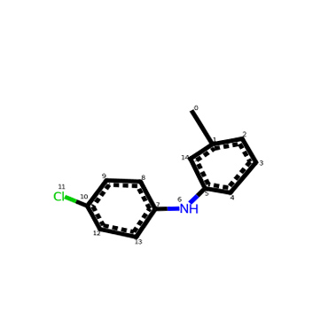 Cc1cccc(Nc2ccc(Cl)cc2)c1